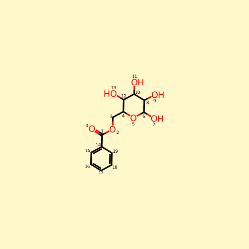 O=C(OCC1OC(O)C(O)C(O)C1O)c1ccccc1